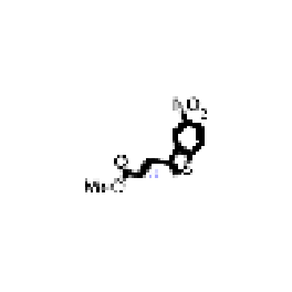 COC(=O)/C=C/c1csc2ccc([N+](=O)[O-])cc12